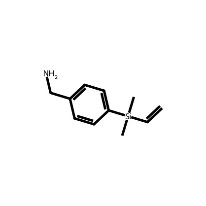 C=C[Si](C)(C)c1ccc(CN)cc1